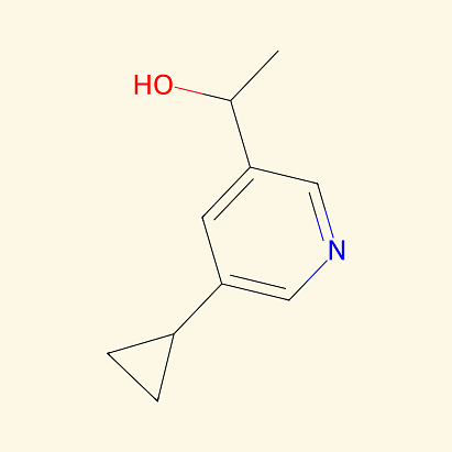 CC(O)c1cncc(C2CC2)c1